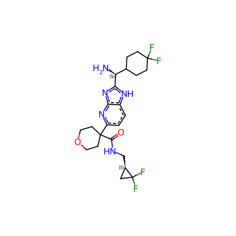 N[C@H](c1nc2nc(C3(C(=O)NC[C@@H]4CC4(F)F)CCOCC3)ccc2[nH]1)C1CCC(F)(F)CC1